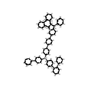 c1ccc(-c2ccc(N(c3ccc(-c4ccc(-c5ccc6c(-c7ccccc7)c7c8ccccc8c8ccccc8c7n6c5)cc4)cc3)c3ccc(-c4ccccc4-c4ccccc4)cc3)cc2)cc1